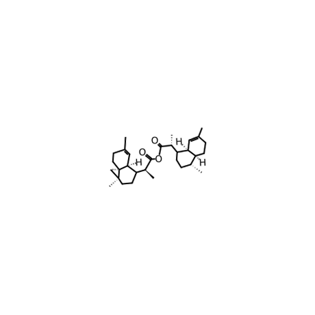 CC1=C[C@@H]2C([C@@H](C)C(=O)OC(=O)[C@@H](C)C3CC[C@@]4(C)C[C@@]45CCC(C)=C[C@@H]35)CC[C@@H](C)[C@@H]2CC1